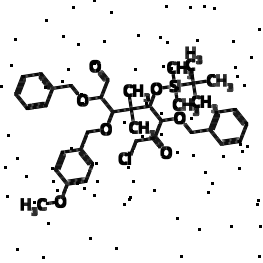 COc1ccc(COC(C(C=O)OCc2ccccc2)C(C)(C)C(O[Si](C)(C)C(C)(C)C)C(OCc2ccccc2)C(=O)CCl)cc1